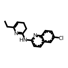 CCC1=CCCC(Nc2ccc3cc(Cl)ccc3n2)=N1